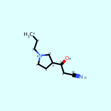 CCCN1CCC(C(=O)CC#N)C1